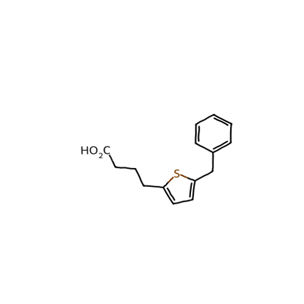 O=C(O)CCCc1ccc(Cc2ccccc2)s1